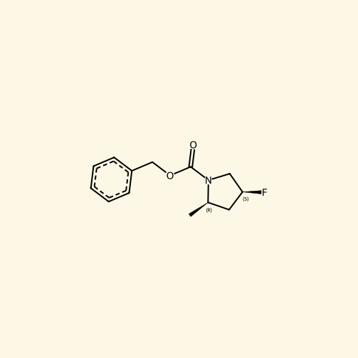 C[C@@H]1C[C@H](F)CN1C(=O)OCc1ccccc1